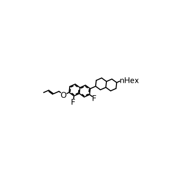 CC=CCOc1ccc2cc(C3CCC4CC(CCCCCC)CCC4C3)c(F)cc2c1F